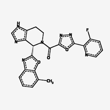 Cc1cccc2nc([C@@H]3c4nc[nH]c4CCN3C(=O)c3nnc(-c4ncccc4F)o3)oc12